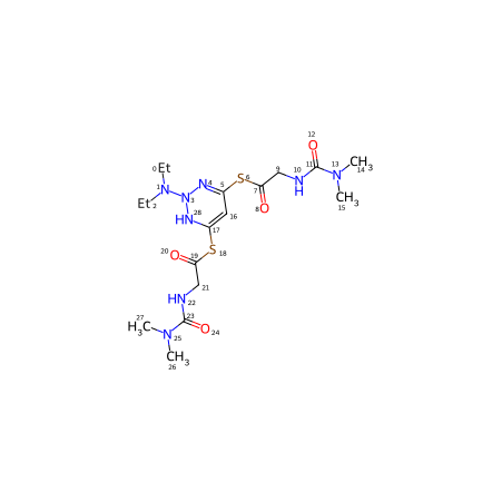 CCN(CC)N1N=C(SC(=O)CNC(=O)N(C)C)C=C(SC(=O)CNC(=O)N(C)C)N1